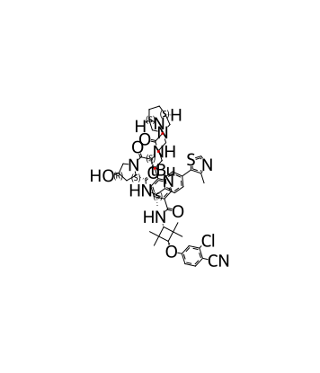 Cc1ncsc1-c1ccc([C@H](C)NC(=O)[C@@H]2C[C@@H](O)CN2C(=O)[C@@H](NC(=O)CN2[C@H]3CC[C@H]2CN(CCCCc2ccc(C(=O)N[C@H]4C(C)(C)[C@H](Oc5ccc(C#N)c(Cl)c5)C4(C)C)cn2)C3)C(C)(C)C)cc1